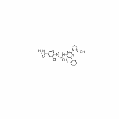 C[C@@H]1CN(c2ncc(C(N)=O)cc2Cl)CCN1c1cc(-c2ccccc2)nc(N2CCC[C@H]2CO)n1